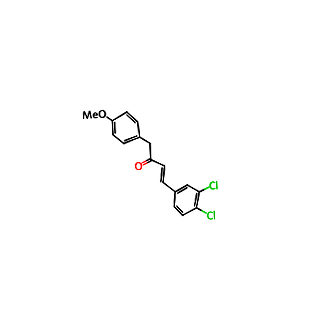 COc1ccc(CC(=O)C=Cc2ccc(Cl)c(Cl)c2)cc1